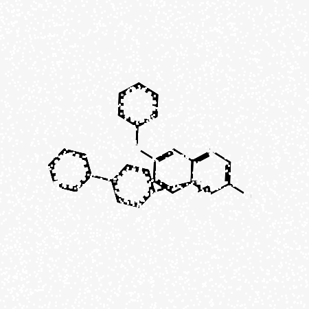 CC1=CN=C2C=C(Oc3ccccc3)C=CC23C1CCN3c1ccc(-c2cccnc2)cc1.Cl